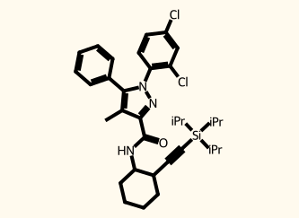 Cc1c(C(=O)NC2CCCCC2C#C[Si](C(C)C)(C(C)C)C(C)C)nn(-c2ccc(Cl)cc2Cl)c1-c1ccccc1